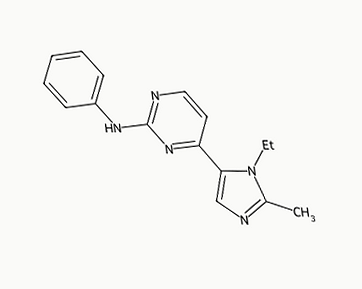 CCn1c(-c2ccnc(Nc3ccccc3)n2)cnc1C